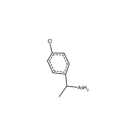 CC([AsH2])c1ccc(Cl)cc1